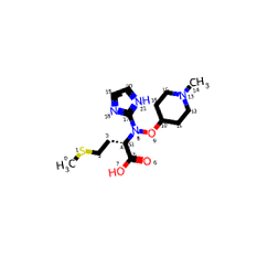 CSCC[C@@H](C(=O)O)N(OC1CCN(C)CC1)c1ncc[nH]1